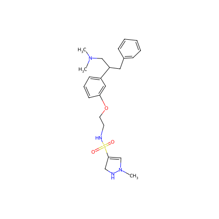 CN(C)CC(Cc1ccccc1)c1cccc(OCCNS(=O)(=O)C2=CN(C)NC2)c1